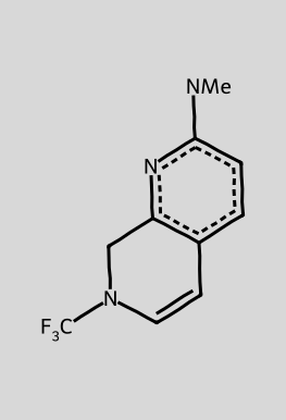 CNc1ccc2c(n1)CN(C(F)(F)F)C=C2